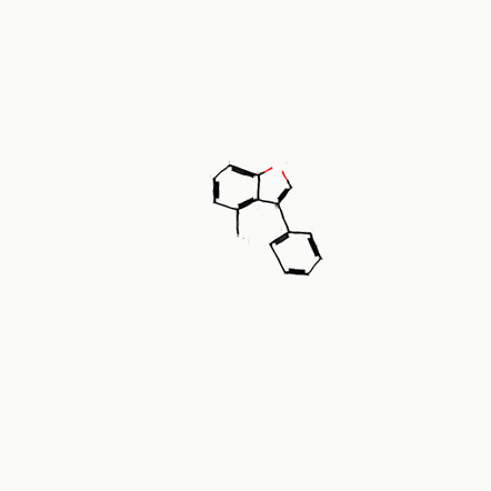 N#Cc1cccc2occ(-c3ccccc3)c12